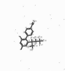 Cc1[c]c(C)c(-c2ccc(C#N)cc2)c(C(F)(C(F)(F)F)C(F)(F)C(F)(F)F)c1